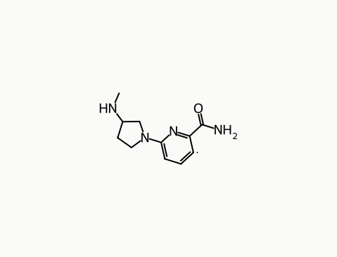 CNC1CCN(c2cc[c]c(C(N)=O)n2)C1